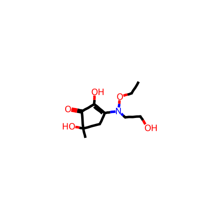 CCON(CCO)C1=C(O)C(=O)C(C)(O)C1